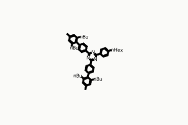 CCCCCCc1ccc(-c2nc(-c3ccc(-c4c(CCCC)cc(C)cc4CCCC)cc3)nc(-c3ccc(-c4c(CCCC)cc(C)cc4CCCC)cc3)n2)cc1